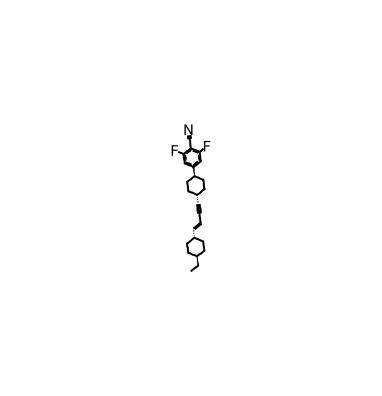 CC[C@H]1CC[C@H](/C=C/C#C[C@H]2CC[C@H](c3cc(F)c(C#N)c(F)c3)CC2)CC1